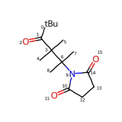 CC(C)(C)C(=O)C(C)(C)C(C)(C)N1C(=O)CCC1=O